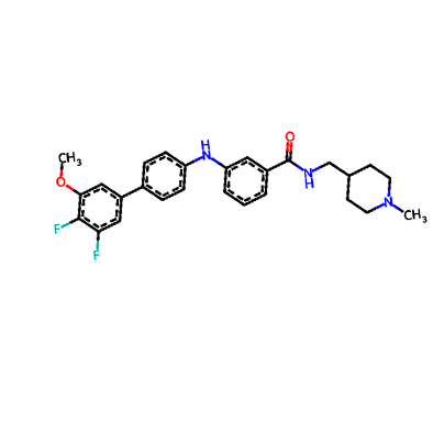 COc1cc(-c2ccc(Nc3cccc(C(=O)NCC4CCN(C)CC4)c3)cc2)cc(F)c1F